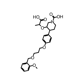 COc1ccccc1COCCCOc1ccc(C2CCN(C(=O)O)CC2OC(C)C(=O)O)cc1